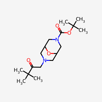 CC(C)(C)OC(=O)N1CC2CN(CC(=O)C(C)(C)C)CC(C1)O2